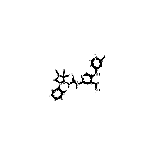 Cc1cc(Nc2cnc(NC(=O)N[C@H]3[C@H](c4ccccc4C)CN(C)C3(C)C)cc2C=N)ccn1